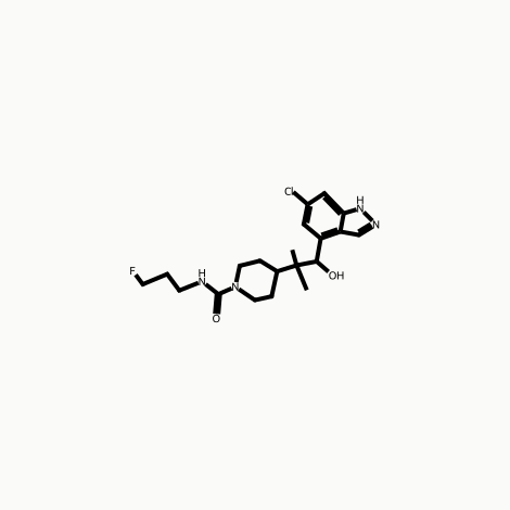 CC(C)(C1CCN(C(=O)NCCCF)CC1)C(O)c1cc(Cl)cc2[nH]ncc12